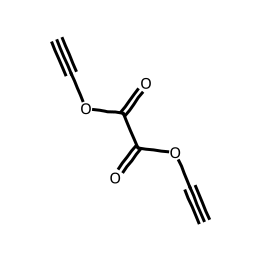 C#COC(=O)C(=O)OC#C